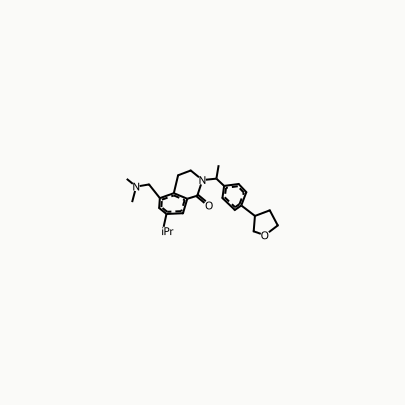 CC(C)c1cc(CN(C)C)c2c(c1)C(=O)N(C(C)c1ccc(C3CCOC3)cc1)CC2